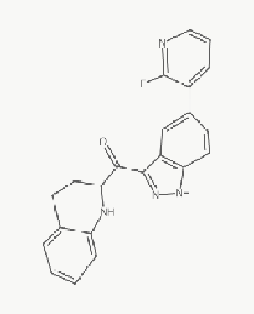 O=C(c1n[nH]c2ccc(-c3cccnc3F)cc12)C1CCc2ccccc2N1